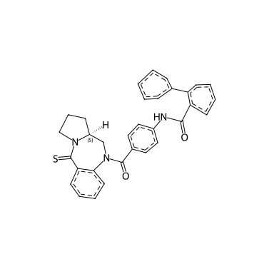 O=C(Nc1ccc(C(=O)N2C[C@@H]3CCCN3C(=S)c3ccccc32)cc1)c1ccccc1-c1ccccc1